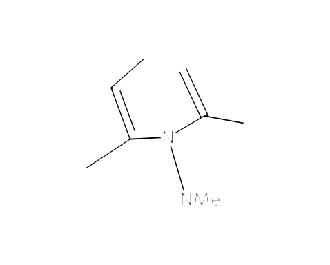 C=C(C)N(NC)/C(C)=C\C